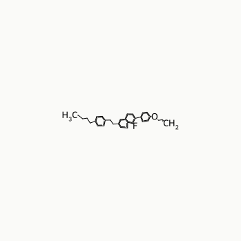 C=CCOc1ccc(-c2ccc3cc(CCc4ccc(CCCCC)cc4)ccc3c2F)cc1